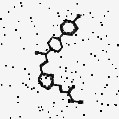 O=C(/C=C/c1cccc(/C=C/C(=O)N2CCN(c3ccc(Br)cc3)CC2)n1)NO